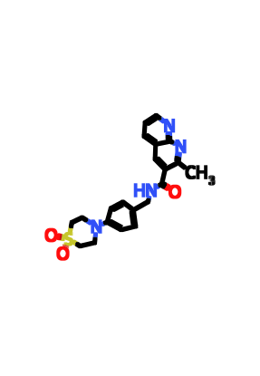 Cc1nc2ncccc2cc1C(=O)NCc1ccc(N2CCS(=O)(=O)CC2)cc1